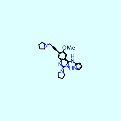 COc1cc2c(Nc3ccc[nH]3)nc(N3CCCC3)nc2cc1C#CCN1CCCC1